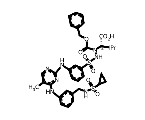 Cc1cnc(Nc2cccc(S(=O)(=O)NN(C(=O)OCc3ccccc3)[C@H](C(=O)O)C(C)C)c2)nc1Nc1cccc(CNS(=O)(=O)C2CC2)c1